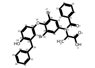 CC(C(=O)O)N(C(=O)c1ccccc1)c1cc(Br)c(Oc2ccc(O)c(Cc3ccccc3)c2)c(Br)c1